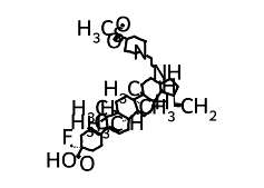 C=C[C@@H]1CC[C@]2(NCCN3CCC(S(C)(=O)=O)CC3)CC[C@]3(C)[C@H](CC[C@@H]4[C@@]5(C)CC=C(C6=CC[C@](CF)(C(=O)O)CC6)C(C)(C)[C@@H]5CC[C@]43C)[C@@H]12